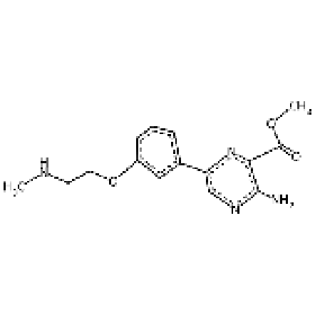 CNCCOc1cccc(-c2cnc(N)c(C(=O)OC)n2)c1